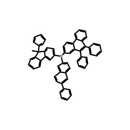 CC1(c2ccccc2)c2ccccc2-c2cc(N(c3ccc4cc(-c5ccccc5)ccc4c3)c3ccc4c(c3)c(-c3ccccc3)c(-c3ccccc3)c3ccccc34)ccc21